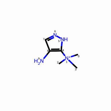 C[N+](C)(C)c1[nH]ncc1N